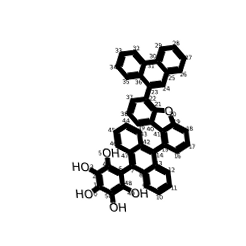 Oc1c(O)c(O)c(-c2c3ccccc3c(-c3cccc4oc5c(-c6cc7ccccc7c7ccccc67)cccc5c34)c3ccccc23)c(O)c1O